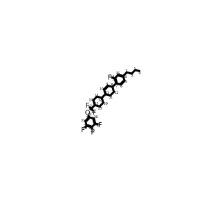 CCCCc1ccc(C2C=CC(C3CCC(C(F)(F)Oc4cc(F)c(F)c(F)c4)CC3)CC2)c(F)c1